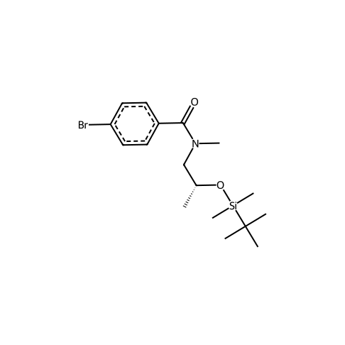 C[C@H](CN(C)C(=O)c1ccc(Br)cc1)O[Si](C)(C)C(C)(C)C